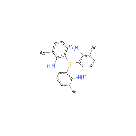 CC(=O)c1cccc([S+](c2cccc(C(C)=O)c2N)c2cccc(C(C)=O)c2N)c1[NH-]